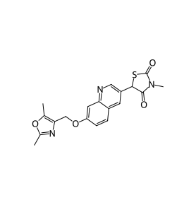 Cc1nc(COc2ccc3cc(C4SC(=O)N(C)C4=O)cnc3c2)c(C)o1